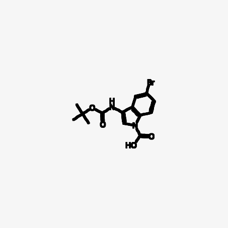 CC(C)(C)OC(=O)Nc1cn(C(=O)O)c2ccc(Br)cc12